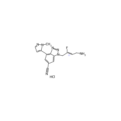 Cl.Cn1nccc1-c1cc(C#N)cc2c1nnn2C/C(F)=C/CN